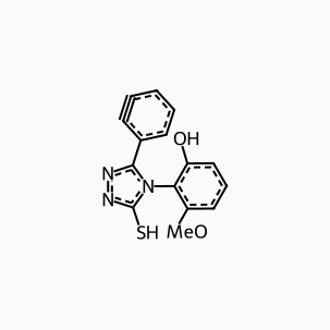 COc1cccc(O)c1-n1c(S)nnc1-c1c#cccc1